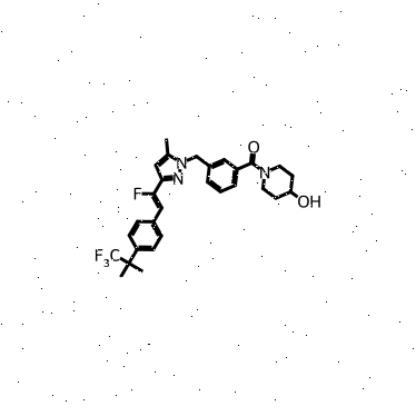 Cc1cc(/C(F)=C/c2ccc(C(C)(C)C(F)(F)F)cc2)nn1Cc1cccc(C(=O)N2CCC(O)CC2)c1